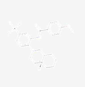 COc1ccc(C(=S)Nc2cc(C(F)(F)F)ccc2N2CC[C@H]3CCCCC3C2)cc1